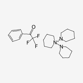 C1CCN([N+]2(N3CCCCC3)CCCCC2)CC1.O=C(c1ccccc1)C(F)(F)F